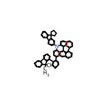 CC1(C)c2ccccc2-c2cccc(-c3ccccc3-c3ccc(N(c4ccc5c(c4)C4(CCCC4)c4ccccc4-5)c4ccccc4-c4cccc5cccc(-c6ccccc6)c45)cc3)c21